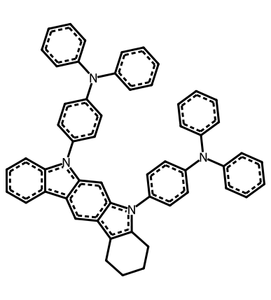 c1ccc(N(c2ccccc2)c2ccc(-n3c4c(c5cc6c7ccccc7n(-c7ccc(N(c8ccccc8)c8ccccc8)cc7)c6cc53)CCCC4)cc2)cc1